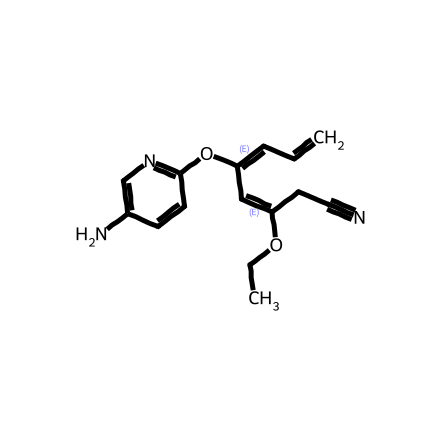 C=C/C=C(\C=C(/CC#N)OCC)Oc1ccc(N)cn1